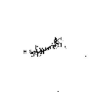 Cc1nc(C(=O)NOCCOCc2nc(C(=O)NOCC(C)O)c(Cl)s2)c(C)s1